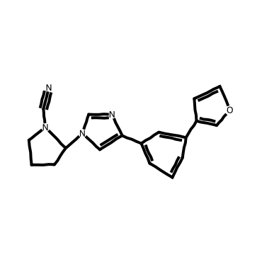 N#CN1CCCC1n1cnc(-c2cccc(-c3ccoc3)c2)c1